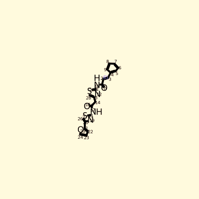 O=C(/C=C/c1ccccc1)Nc1nc(CC(=O)Nc2nc(-c3ccco3)cs2)cs1